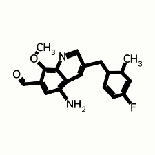 COc1c(C=O)cc(N)c2cc(CC3C=CC(F)=CC3C)cnc12